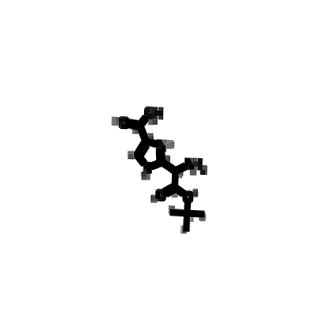 CC(C)(C)OC(=O)C(N)c1nc(C(=O)O)cs1